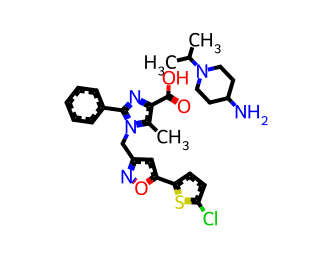 CC(C)N1CCC(N)CC1.Cc1c(C(=O)O)nc(-c2ccccc2)n1Cc1cc(-c2ccc(Cl)s2)on1